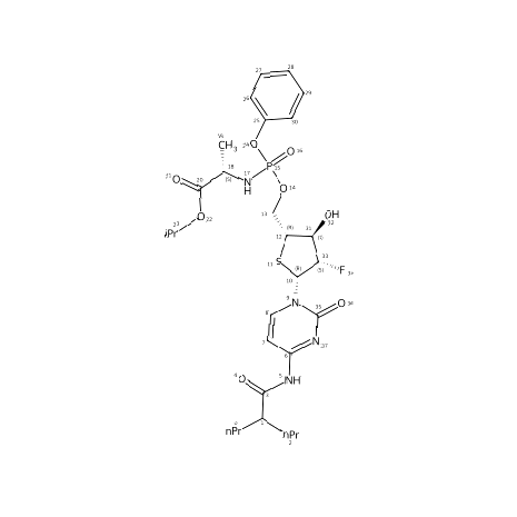 CCCC(CCC)C(=O)Nc1ccn([C@@H]2S[C@H](COP(=O)(N[C@@H](C)C(=O)OC(C)C)Oc3ccccc3)[C@@H](O)[C@@H]2F)c(=O)n1